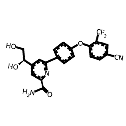 N#Cc1ccc(Oc2ccc(-c3cc([C@@H](O)CO)cc(C(N)=O)n3)cc2)c(C(F)(F)F)c1